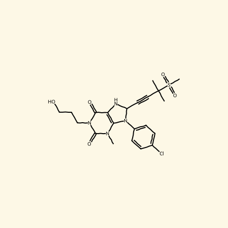 Cn1c2c(c(=O)n(CCCO)c1=O)NC(C#CC(C)(C)S(C)(=O)=O)N2c1ccc(Cl)cc1